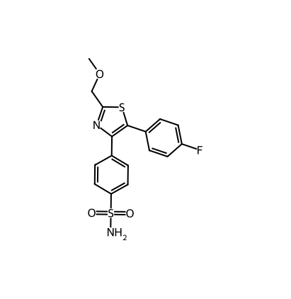 COCc1nc(-c2ccc(S(N)(=O)=O)cc2)c(-c2ccc(F)cc2)s1